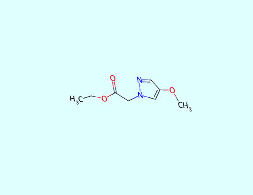 CCOC(=O)Cn1cc(OC)cn1